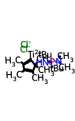 CC1=C(C)C(C)(C)[C]([Ti+2])=C1C.CN(C)P(=N)(C(C)(C)C)C(C)(C)C.[Cl-].[Cl-]